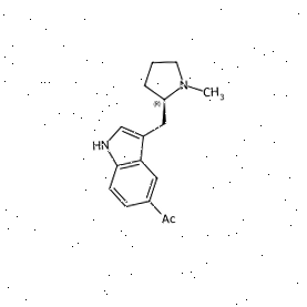 CC(=O)c1ccc2[nH]cc(C[C@H]3CCCN3C)c2c1